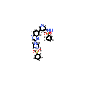 O=S(=O)(Nc1cncc(-c2ccc3ncc(N4CCN(S(=O)(=O)C5CCCCC5)CC4)nc3c2)c1)c1ccccc1